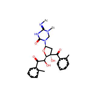 CCN1CN([C@H]2C[C@@](O)(C(=O)c3ccccc3C)[C@@H](C(O)C(=O)c3ccccc3C)O2)C(=O)NC1=NC(C)=O